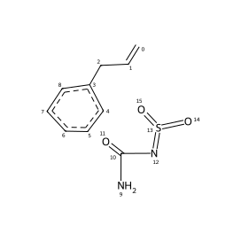 C=CCc1ccccc1.NC(=O)N=S(=O)=O